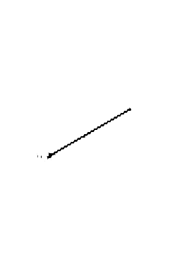 CCCCCCCCCCCCCCCCCCCCCCCCCCCCCCCCCCCCCCCCCCCCCCCCC[P+](C)(C)C.[Cl-]